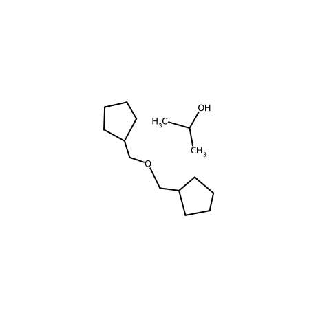 C1CCC(COCC2CCCC2)C1.CC(C)O